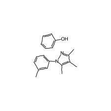 Cc1cccc(-n2nc(C)c(C)c2C)c1.Oc1ccccc1